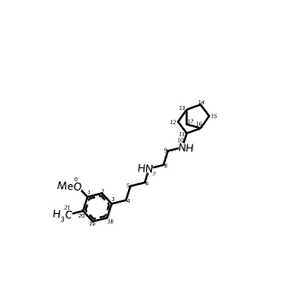 COc1cc(CCCNCCNC2CC3CCC2C3)ccc1C